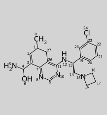 CC1C=C(C(N)O)c2ncnc(N[C@H](CN3CCC3)c3cccc(Cl)c3)c2C1